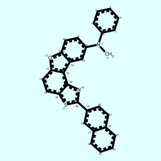 CN(c1ccccc1)c1ccc2oc3ccc4sc(-c5ccc6ccccc6c5)nc4c3c2c1